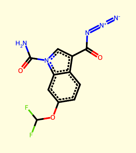 [N-]=[N+]=NC(=O)c1cn(C(N)=O)c2cc(OC(F)F)ccc12